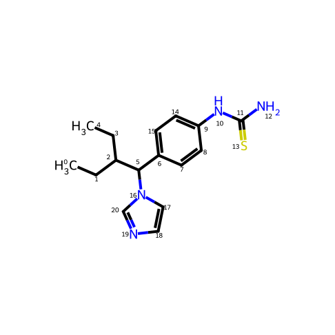 CCC(CC)C(c1ccc(NC(N)=S)cc1)n1ccnc1